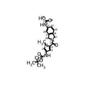 Cn1cc(NC(=O)OC(C)(C)C)cc1C(=O)N1Cc2ccc(NC(=O)O)cc2C1